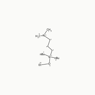 CCCC[Si](CCCC)(CCCN(C)C)OCC